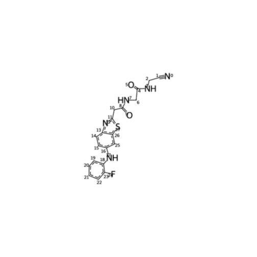 N#CCNC(=O)CNC(=O)Cc1nc2ccc(Nc3ccccc3F)cc2s1